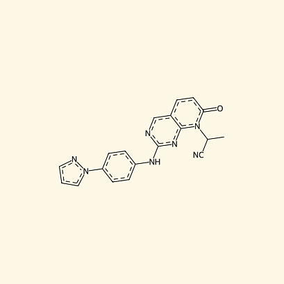 CC(C#N)n1c(=O)ccc2cnc(Nc3ccc(-n4cccn4)cc3)nc21